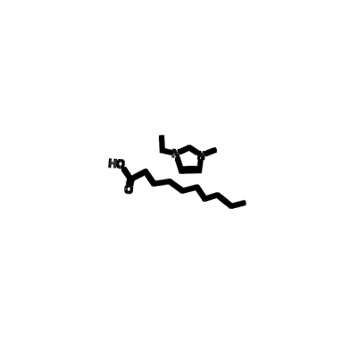 CCCCCCCCCC(=O)O.CCN1C=CN(C)C1